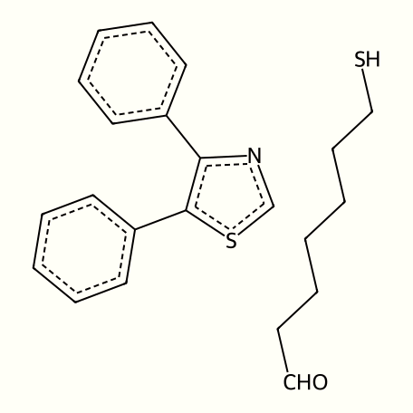 O=CCCCCCCS.c1ccc(-c2ncsc2-c2ccccc2)cc1